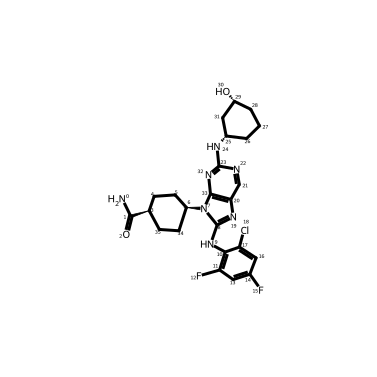 NC(=O)[C@H]1CC[C@@H](n2c(Nc3c(F)cc(F)cc3Cl)nc3cnc(N[C@H]4CCC[C@@H](O)C4)nc32)CC1